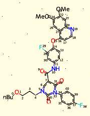 CCCCOCCCn1cc(C(=O)Nc2ccc(Oc3ccnc4cc(OC)c(OC)cc34)c(F)c2)c(=O)n(-c2ccc(F)cc2)c1=O